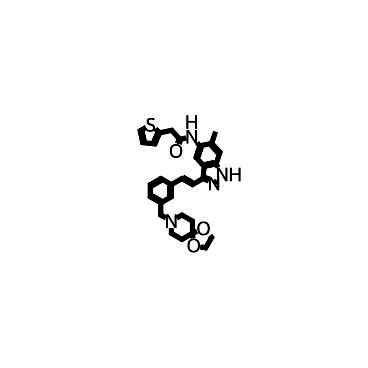 Cc1cc2[nH]nc(C=Cc3cccc(CN4CCC5(CC4)OCCO5)c3)c2cc1NC(=O)Cc1cccs1